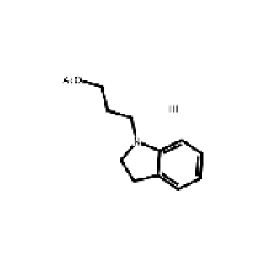 CC(=O)OCCCN1CCc2ccccc21.I